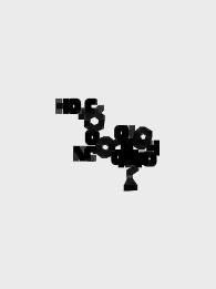 COc1cc(C#N)c(O[C@H]2CC[C@@](C)(C(=O)O)CC2)cc1C(=O)N[C@@H]1[C@H]2CC[C@H](C2)[C@@H]1C(=O)NCCC1CC1